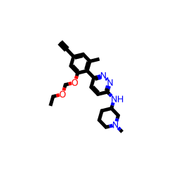 C#Cc1cc(C)c(-c2ccc(NC3CCCN(C)C3)nn2)c(OCOCC)c1